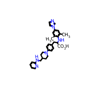 Cc1cc(-n2ccnc2)cc(C)c1NC(Cc1ccc(N2CCC(CNc3ccccn3)CC2)cc1)C(=O)O